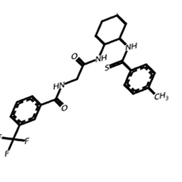 Cc1ccc(C(=S)NC2C[CH]CCC2NC(=O)CNC(=O)c2cccc(C(F)(F)F)c2)cc1